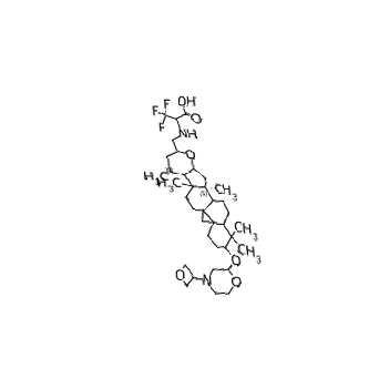 C[C@@H]1CC(CNC(C(=O)O)C(F)(F)F)OC2C[C@@]3(C)C4CCC5C(C)(C)C(OC6CN(C7COC7)CCO6)CCC56CC46CCC3(C)C21